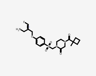 CC1(C(=O)N2CCN(CS(=O)(=O)c3ccc(OC/C(=C/F)CN)cc3)C(=O)C2)CCC1